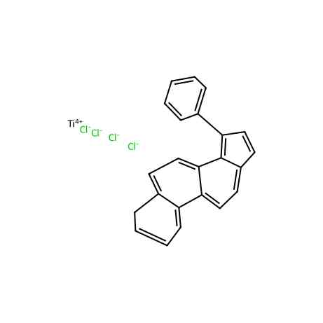 C1=CCc2ccc3c4c(ccc3c2=C1)C=CC=4c1ccccc1.[Cl-].[Cl-].[Cl-].[Cl-].[Ti+4]